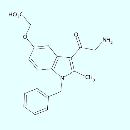 Cc1c(C(=O)CN)c2cc(OCC(=O)O)ccc2n1Cc1ccccc1